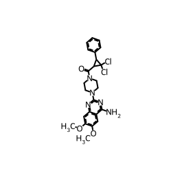 COc1cc2nc(N3CCN(C(=O)C4C(c5ccccc5)C4(Cl)Cl)CC3)nc(N)c2cc1OC